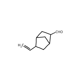 C=CC1CC2CC1CC2C=O